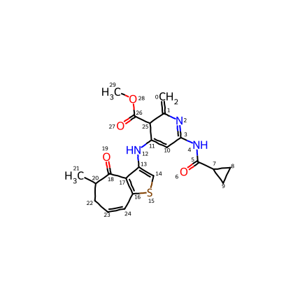 C=C1N=C(NC(=O)C2CC2)C=C(Nc2csc3c2C(=O)C(C)CC=C3)C1C(=O)OC